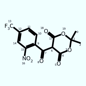 CC1(C)OC(=O)C(C(=O)c2ccc(C(F)(F)F)cc2[N+](=O)[O-])C(=O)O1